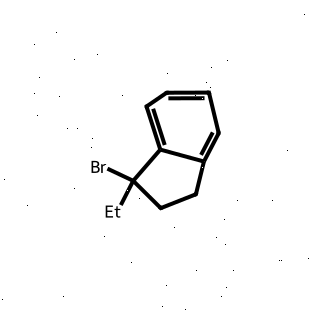 CCC1(Br)CCc2ccccc21